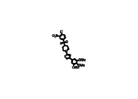 COc1cc(-c2csc(N3CCC(S(=O)(=O)c4ccc(Cl)c([N+](=O)[O-])c4)CC3)n2)cc(OC)c1OC